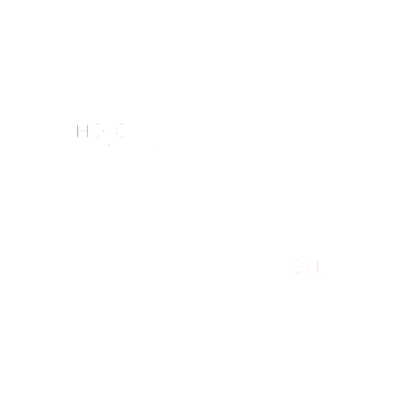 Bc1ccc2cc(C(=O)O)ccc2c1